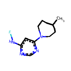 CC1CCN(c2cc(NF)ncn2)CC1